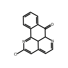 O=C1c2ccccc2C2=NC(Cl)=CC3=CC=NC1C32